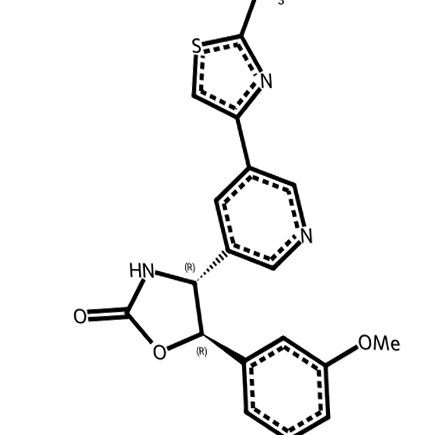 COc1cccc([C@H]2OC(=O)N[C@@H]2c2cncc(-c3csc(C)n3)c2)c1